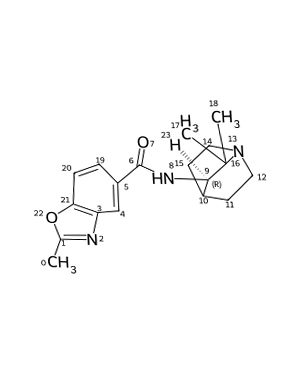 Cc1nc2cc(C(=O)N[C@@H]3C4CCN(CC4)C3(C)C)ccc2o1